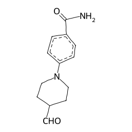 NC(=O)c1ccc(N2CCC(C=O)CC2)cc1